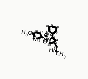 CNCc1cc(-c2ccccc2)n(S(=O)(=O)c2ccc(C)nc2)c1